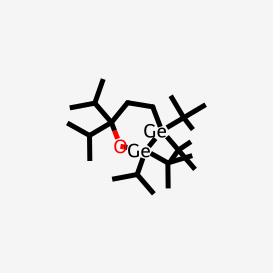 CC(C)C1(C(C)C)C[CH2][Ge]([C](C)(C)C)([C](C)(C)C)[Ge]([CH](C)C)([CH](C)C)[O]1